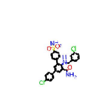 NC(=O)c1cc(-c2ccc(Cl)cc2)cc(-c2ccc(S(N)(=O)=O)cc2)c1NCc1cccc(Cl)c1